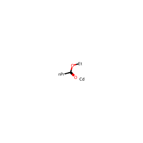 CCCC(=O)OCC.[Cd]